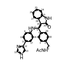 CC(=O)NCc1ccc(C(Nc2ccc(-c3c[nH]cn3)cc2)=C2C(=O)Nc3ccccc32)cc1